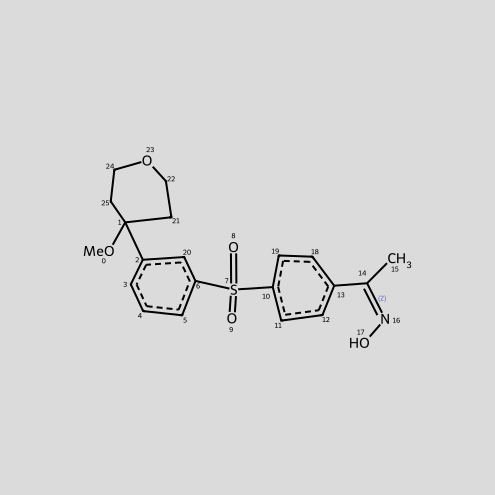 COC1(c2cccc(S(=O)(=O)c3ccc(/C(C)=N\O)cc3)c2)CCOCC1